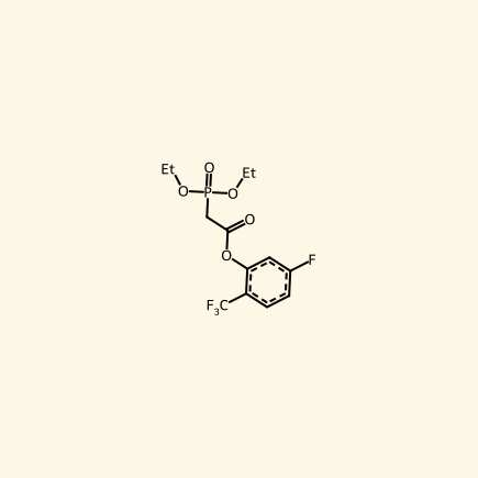 CCOP(=O)(CC(=O)Oc1cc(F)ccc1C(F)(F)F)OCC